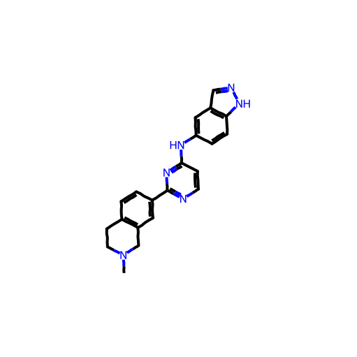 CN1CCc2ccc(-c3nccc(Nc4ccc5[nH]ncc5c4)n3)cc2C1